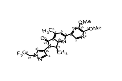 COc1ncc(-c2cc(C)c3c(n2)C(C)N(c2cnn(CC(F)(F)F)c2)C3=O)nc1OC